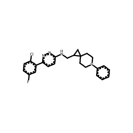 Fc1ccc(Cl)c(-c2ccc(NCC3CC34CCN(c3ccccc3)CC4)nn2)c1